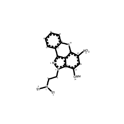 CCN(CC)CCn1nc2c3c(c([N+](=O)[O-])cc(OC)c31)Sc1ccccc1-2